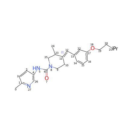 Cc1ccc(NC(=O)N2CC/C(=C\c3cccc(OCCC(C)C)c3)C(C)C2)cn1